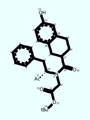 CC(=O)[C@H](Cc1ccccc1)N(CC(=O)OC(C)(C)C)C(=O)C1CCc2cc(O)ccc2C1